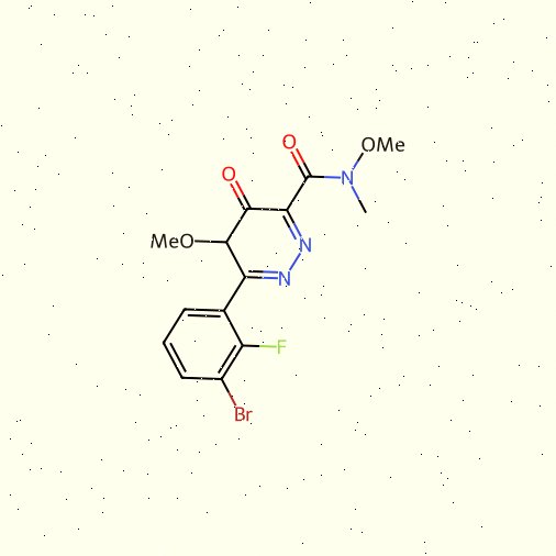 COC1C(=O)C(C(=O)N(C)OC)=NN=C1c1cccc(Br)c1F